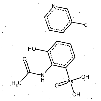 CC(=O)Nc1c(O)cccc1[As](=O)(O)O.Clc1cccnc1